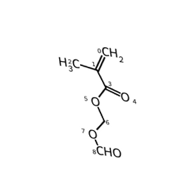 C=C(C)C(=O)OCOC=O